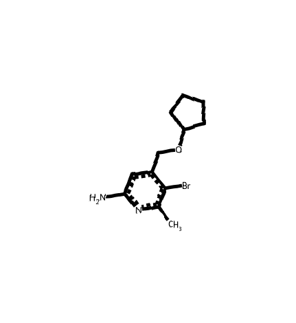 Cc1nc(N)cc(COC2CCCC2)c1Br